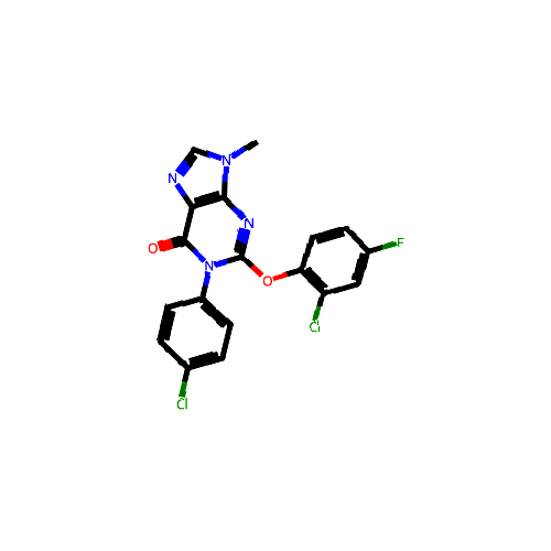 Cn1cnc2c(=O)n(-c3ccc(Cl)cc3)c(Oc3ccc(F)cc3Cl)nc21